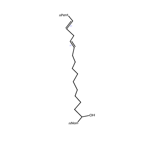 CCCCC/C=C/C/C=C/CCCCCCCCCC(O)CCCCCCCCC